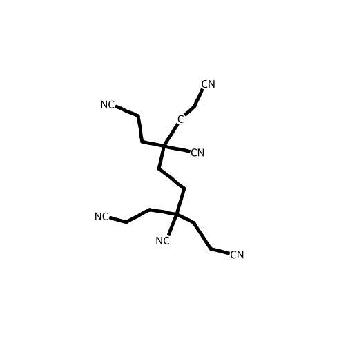 N#CCCC(C#N)(CCC#N)CCC(C#N)(CCC#N)CCC#N